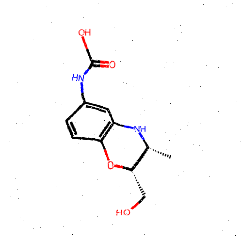 C[C@H]1Nc2cc(NC(=O)O)ccc2O[C@H]1CO